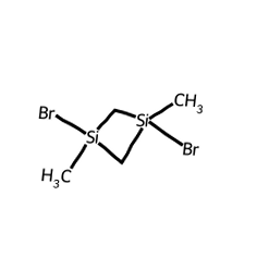 C[Si]1(Br)C[Si](C)(Br)C1